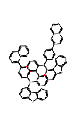 c1ccc(N(c2ccc(-c3ccc4ccccc4c3)cc2)c2cccc3sc4ccccc4c23)c(-c2ccccc2N(c2ccc(-c3cccc4ccccc34)cc2)c2cccc3sc4ccccc4c23)c1